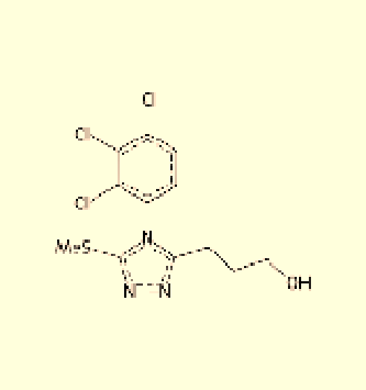 CSc1nnc(CCCO)n1-c1ccc(Cl)c(Cl)c1Cl